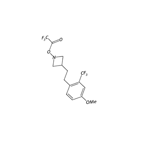 COc1ccc(CCC2CN(OC(=O)C(F)(F)F)C2)c(C(F)(F)F)c1